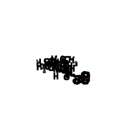 CC(C)(C)OC(=O)NCCCCC(NC(=O)OC(C)(C)C)C(=O)NCCCC[PH](c1ccccc1)(c1ccccc1)c1ccccc1